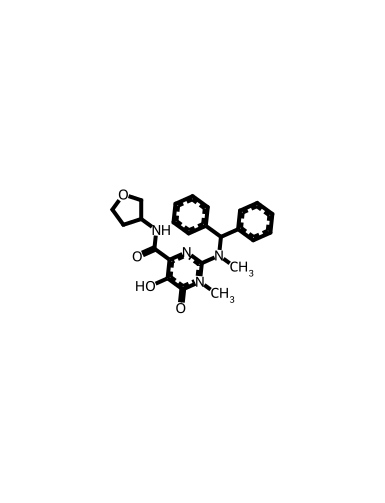 CN(c1nc(C(=O)NC2CCOC2)c(O)c(=O)n1C)C(c1ccccc1)c1ccccc1